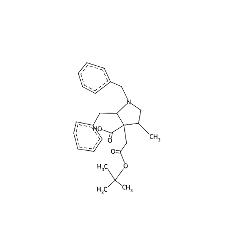 CC1CN(Cc2ccccc2)C(Cc2ccccc2)C1(CC(=O)OC(C)(C)C)C(=O)O